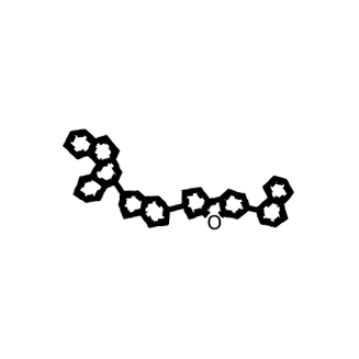 c1ccc2c(-c3ccc4c(c3)oc3cc(-c5ccc6ccc(-c7cc8ccc9ccccc9c8c8ccccc78)cc6c5)ccc34)cccc2c1